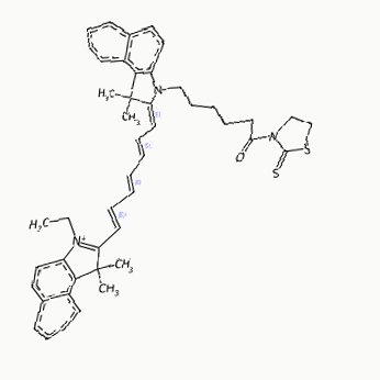 CC[N+]1=C(/C=C/C=C/C=C/C=C2/N(CCCCCC(=O)N3CCSC3=S)c3ccc4ccccc4c3C2(C)C)C(C)(C)c2c1ccc1ccccc21